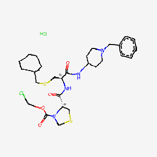 Cl.O=C(NC1CCN(Cc2ccccc2)CC1)[C@H](CSCC1CCCCC1)NC(=O)[C@@H]1CSCN1C(=O)OCCl